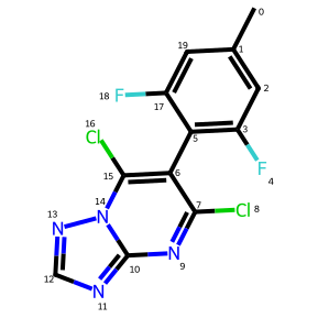 Cc1cc(F)c(-c2c(Cl)nc3ncnn3c2Cl)c(F)c1